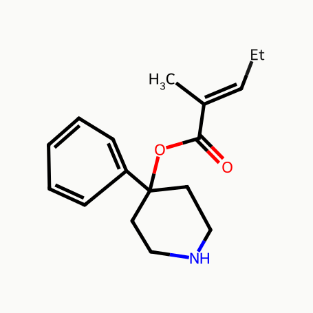 CC/C=C(\C)C(=O)OC1(c2ccccc2)CCNCC1